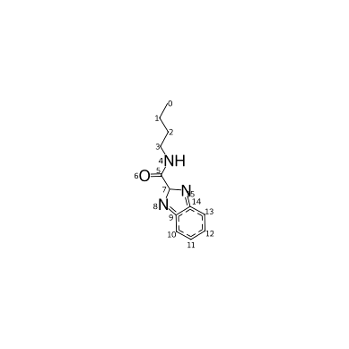 CCCCNC(=O)C1N=c2ccccc2=N1